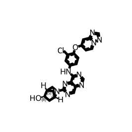 O[C@@H]1C[C@@H]2C[C@H]1CN2c1ncc2ncnc(Nc3ccc(Oc4ccn5ncnc5c4)c(Cl)c3)c2n1